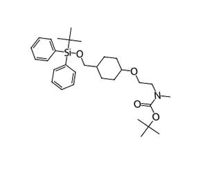 CN(CCOC1CCC(CO[Si](c2ccccc2)(c2ccccc2)C(C)(C)C)CC1)C(=O)OC(C)(C)C